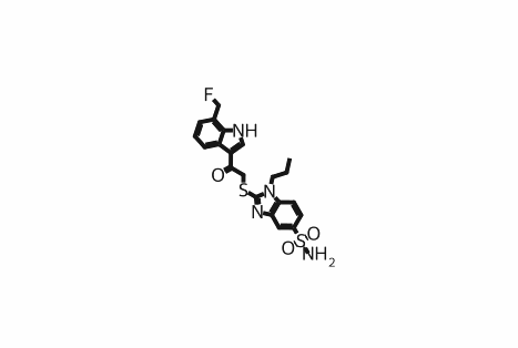 CCCn1c(SCC(=O)c2c[nH]c3c(CF)cccc23)nc2cc(S(N)(=O)=O)ccc21